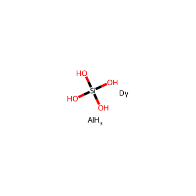 O[Si](O)(O)O.[AlH3].[Dy]